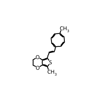 CC1=C\C=C/C(/C=C/c2sc(C)c3c2OCCO3)=C\C=C/1